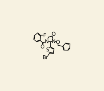 O=C(c1ccccc1F)N1CC(=O)N(OCc2ccccc2)C1c1ccc(Br)s1